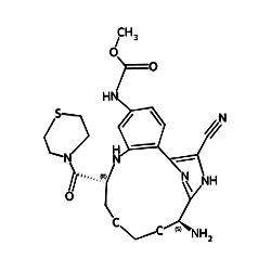 COC(=O)Nc1ccc2c(c1)N[C@@H](C(=O)N1CCSCC1)CCCC[C@H](N)c1nc-2c(C#N)[nH]1